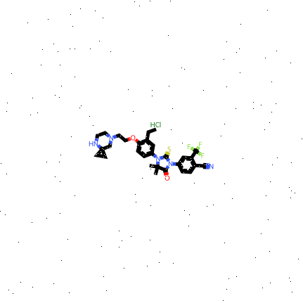 CCc1cc(N2C(=S)N(c3ccc(C#N)c(C(F)(F)F)c3)C(=O)C2(C)C)ccc1OCCN1CCNC2(CC2)C1.Cl